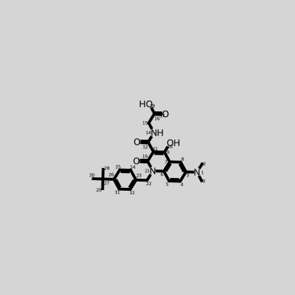 CN(C)c1ccc2c(c1)c(O)c(C(=O)NCC(=O)O)c(=O)n2Cc1ccc(C(C)(C)C)cc1